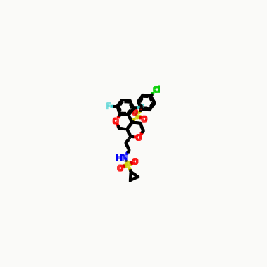 O=S(=O)(NCC[C@@H]1OCC[C@@]2(S(=O)(=O)c3ccc(Cl)cc3)c3c(F)ccc(F)c3OCC12)C1CC1